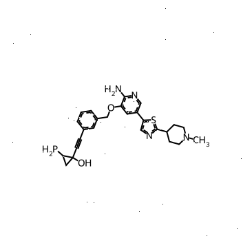 CN1CCC(c2ncc(-c3cnc(N)c(OCc4cccc(C#CC5(O)CC5P)c4)c3)s2)CC1